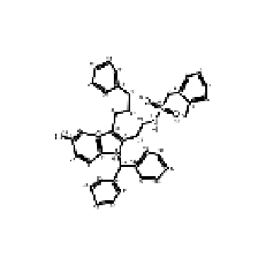 Cc1ccccc1CS(=O)(=O)NCCc1c(CCCc2ccccc2)c2cc(Cl)ccc2n1C(c1ccccc1)c1ccccc1